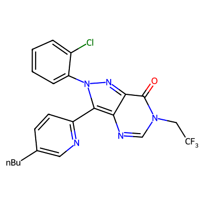 CCCCc1ccc(-c2c3ncn(CC(F)(F)F)c(=O)c3nn2-c2ccccc2Cl)nc1